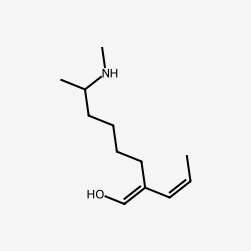 C/C=C\C(=C\O)CCCCC(C)NC